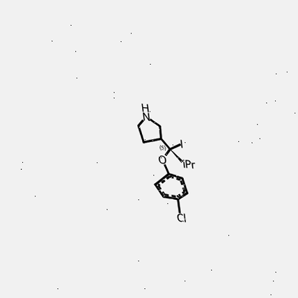 CC(C)[C@@](I)(Oc1ccc(Cl)cc1)C1CCNC1